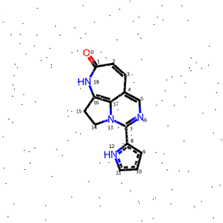 O=C1C=CC2=CN=C(c3ccc[nH]3)N3CCC(=C23)N1